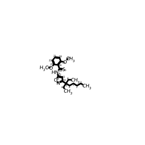 CCCCCC(CC)(CC)c1cc(NC(=S)c2c(OC)cccc2OC)on1